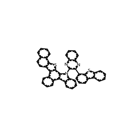 c1ccc2c(c1)ccc1c2sc2c1c1ccccc1c1c3ccccc3n(-c3nc4ccccc4nc3-c3cccc4c3sc3ccccc34)c21